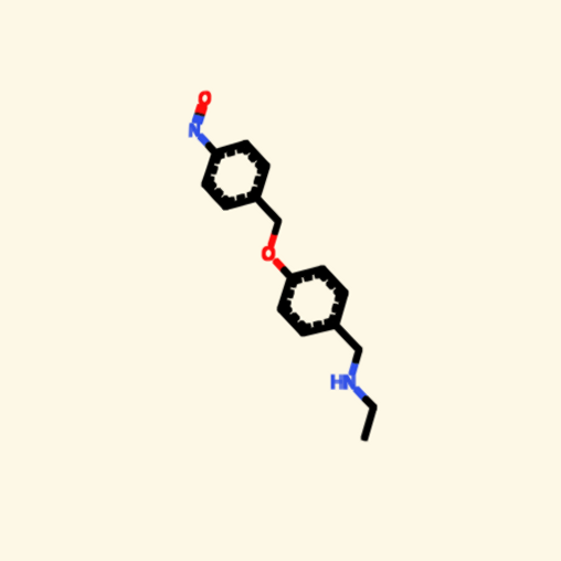 CCNCc1ccc(OCc2ccc(N=O)cc2)cc1